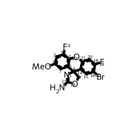 COc1cc(F)c2c(c1)C1(COC(N)=N1)c1cc(Br)c(F)cc1O2